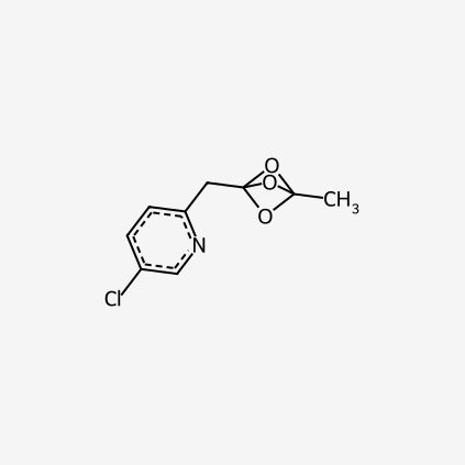 CC12OC(Cc3ccc(Cl)cn3)(O1)O2